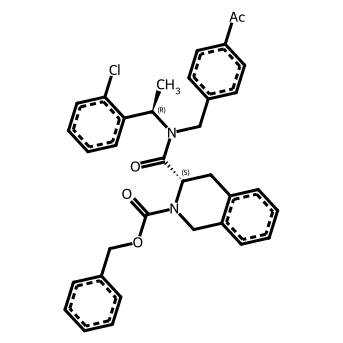 CC(=O)c1ccc(CN(C(=O)[C@@H]2Cc3ccccc3CN2C(=O)OCc2ccccc2)[C@H](C)c2ccccc2Cl)cc1